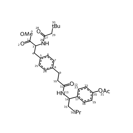 COC(=O)C(Cc1ccc(CCC(=O)NC(CC(C)C)c2ccc(OC(C)=O)cc2)cc1)NC(=O)CC(C)(C)C